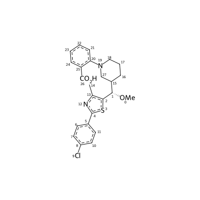 CO[C@H](c1sc(-c2ccc(Cl)cc2)nc1C)C1CCCN(c2ccccc2C(=O)O)C1